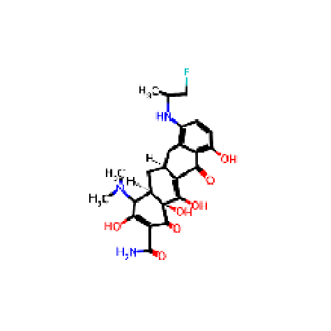 CC(CF)Nc1ccc(O)c2c1C[C@@H]1C[C@@H]3C(N(C)C)C(O)=C(C(N)=O)C(=O)[C@@]3(O)C(O)=C1C2=O